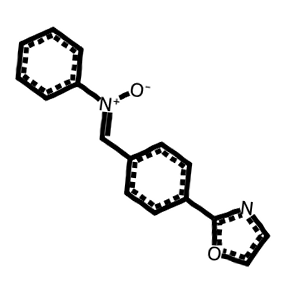 [O-][N+](=Cc1ccc(-c2ncco2)cc1)c1ccccc1